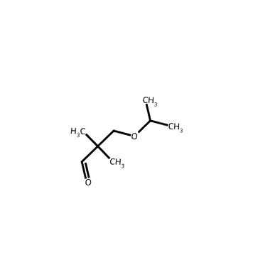 CC(C)OCC(C)(C)C=O